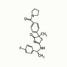 C[C@H](NC1=NC(=O)C(C)(c2ccc(C(=O)N3CCCC3)cc2)S1)c1ccc(F)cc1